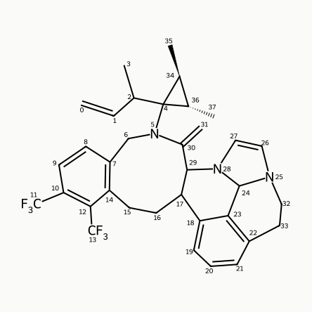 C=CC(C)C1(N2Cc3ccc(C(F)(F)F)c(C(F)(F)F)c3CCC3c4cccc5c4C4N(C=CN4C3C2=C)CC5)[C@@H](C)[C@@H]1C